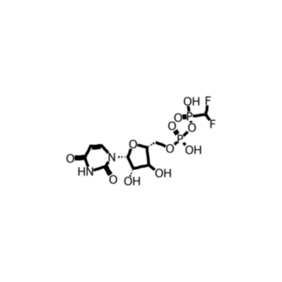 O=c1ccn([C@@H]2O[C@H](COP(=O)(O)OP(=O)(O)C(F)F)C(O)[C@@H]2O)c(=O)[nH]1